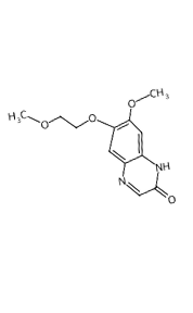 COCCOc1cc2ncc(=O)[nH]c2cc1OC